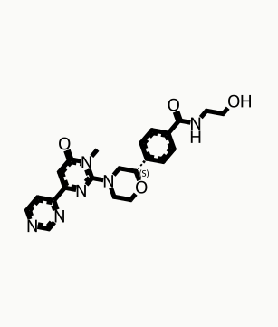 Cn1c(N2CCO[C@@H](c3ccc(C(=O)NCCO)cc3)C2)nc(-c2ccncn2)cc1=O